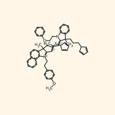 COc1ccc(CC[N+]2=C(/C=C(C)/C=C3\N(CCOc4ccccc4)c4ccccc4C3(C)CCCC3C=CC=C3)C(C)(CCSC3C=CC=C3)c3ccc4ccccc4c32)cc1